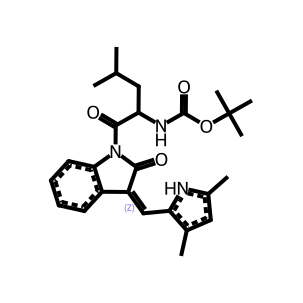 Cc1cc(C)c(/C=C2\C(=O)N(C(=O)C(CC(C)C)NC(=O)OC(C)(C)C)c3ccccc32)[nH]1